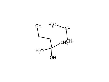 CC(C)(O)CCO.CNC